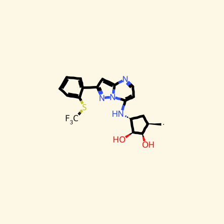 [CH2][C@@H]1C[C@@H](Nc2ccnc3cc(-c4ccccc4SC(F)(F)F)nn23)[C@H](O)[C@@H]1O